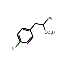 CC(C)C(Cc1ccc(Cl)cc1)C(=O)O